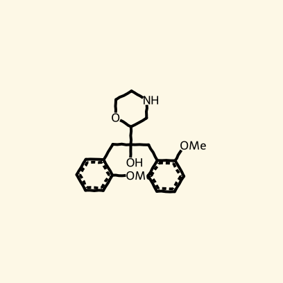 COc1ccccc1CC(O)(Cc1ccccc1OC)C1CNCCO1